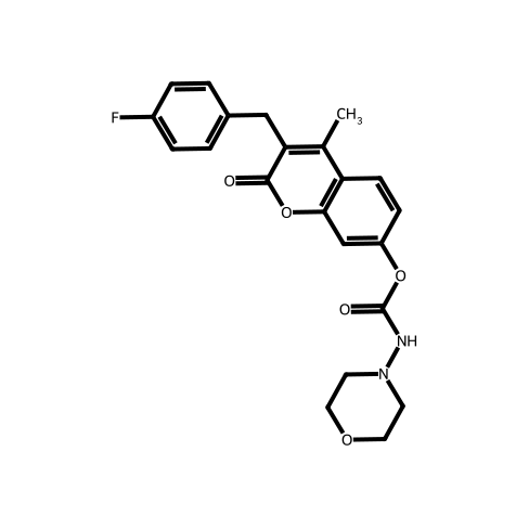 Cc1c(Cc2ccc(F)cc2)c(=O)oc2cc(OC(=O)NN3CCOCC3)ccc12